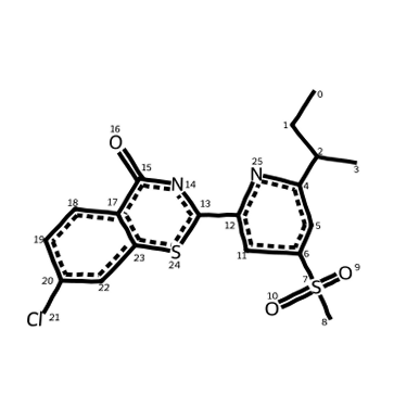 CCC(C)c1cc(S(C)(=O)=O)cc(-c2nc(=O)c3ccc(Cl)cc3s2)n1